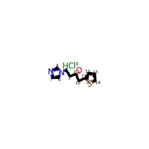 Cl.O=C(CCn1ccnc1)Cc1cccs1